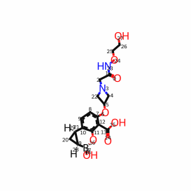 O=C(CN1CC(Oc2ccc3c(c2C(=O)O)OB(O)[C@H]2C[C@@H]32)C1)NOCCO